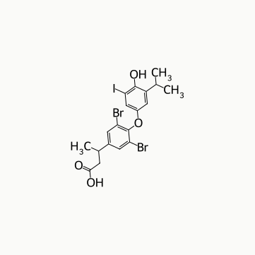 CC(C)c1cc(Oc2c(Br)cc(C(C)CC(=O)O)cc2Br)cc(I)c1O